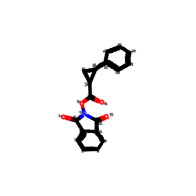 O=C(ON1C(=O)c2ccccc2C1=O)C1CC1c1ccccc1